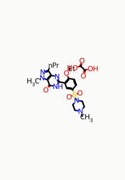 CCCc1nn(C)c2c(=O)[nH]c(-c3cc(S(=O)(=O)N4CCN(C)CC4)ccc3OCC)nc12.O=C(O)C(=O)O